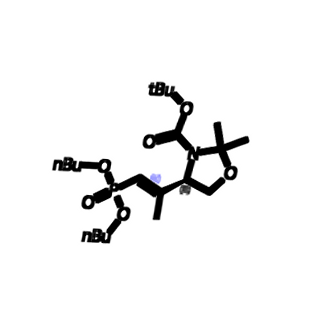 CCCCOP(=O)(/C=C(\C)[C@@H]1COC(C)(C)N1C(=O)OC(C)(C)C)OCCCC